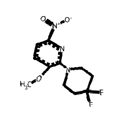 COc1ccc([N+](=O)[O-])nc1N1CCC(F)(F)CC1